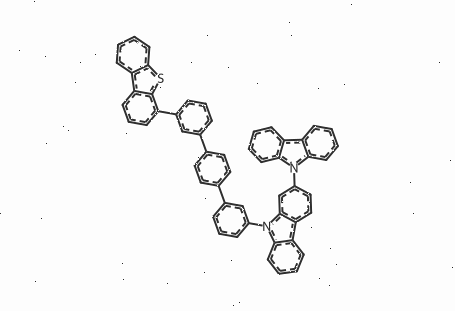 c1cc(-c2ccc(-c3cccc(-n4c5ccccc5c5ccc(-n6c7ccccc7c7ccccc76)cc54)c3)cc2)cc(-c2cccc3c2sc2ccccc23)c1